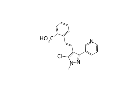 Cn1nc(-c2cccnc2)c(/C=C/c2ccccc2C(=O)O)c1Cl